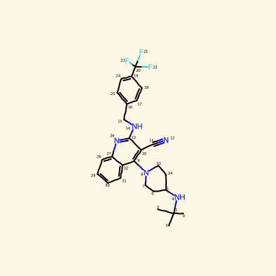 CC(C)(C)NC1CCN(c2c(C#N)c(NCc3ccc(C(F)(F)F)cc3)nc3ccccc23)CC1